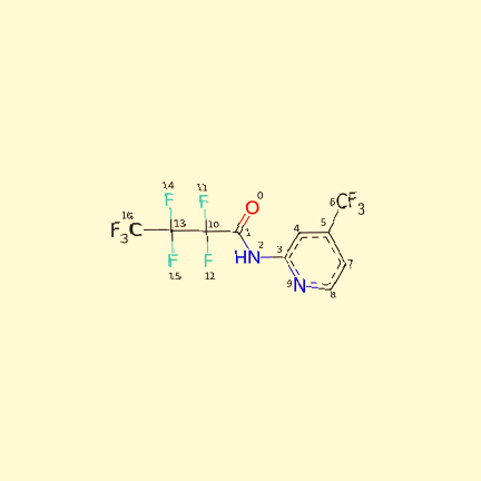 O=C(Nc1cc(C(F)(F)F)ccn1)C(F)(F)C(F)(F)C(F)(F)F